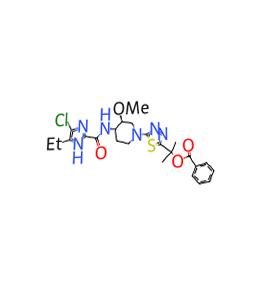 CCc1[nH]c(C(=O)N[C@@H]2CCN(c3nnc(C(C)(C)OC(=O)c4ccccc4)s3)C[C@@H]2OC)nc1Cl